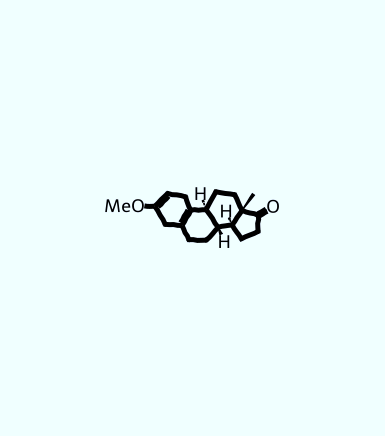 COC1=CCC2=C(CC[C@@H]3[C@@H]2CC[C@]2(C)C(=O)CC[C@@H]32)C1